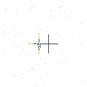 CC(C)(C)[AsH](F)(F)F